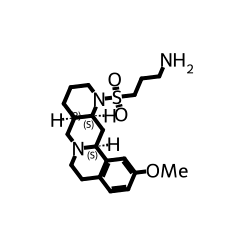 COc1ccc2c(c1)[C@@H]1C[C@H]3[C@H](CCCN3S(=O)(=O)CCCN)CN1CC2